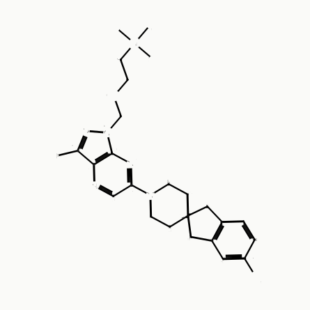 C[Si](C)(C)CCOCn1nc(I)c2ncc(N3CCC4([CH]c5ccc(F)cc5C4)CC3)nc21